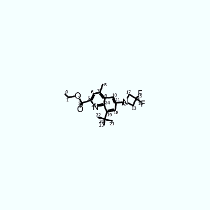 CCOC(=O)c1cc(C)c2cc(N3CC(F)(F)C3)cc(C(C)(C)C)c2n1